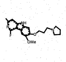 COc1cc2c(cc1OCCCN1CCCC1)[nH]c1cc(C)nc(F)c12